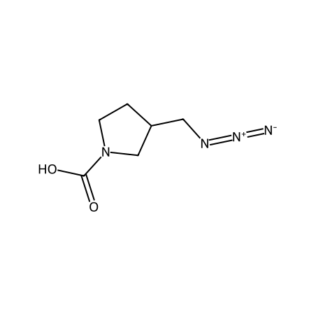 [N-]=[N+]=NCC1CCN(C(=O)O)C1